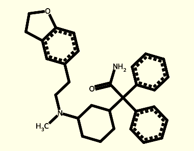 CN(CCc1ccc2c(c1)CCO2)C1CCCC(C(C(N)=O)(c2ccccc2)c2ccccc2)C1